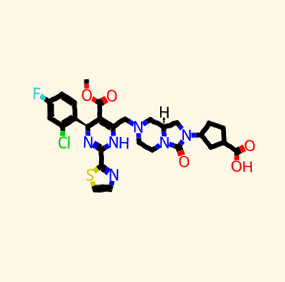 COC(=O)C1=C(CN2CCN3C(=O)N(C4CCC(C(=O)O)C4)C[C@@H]3C2)NC(c2nccs2)=N[C@H]1c1ccc(F)cc1Cl